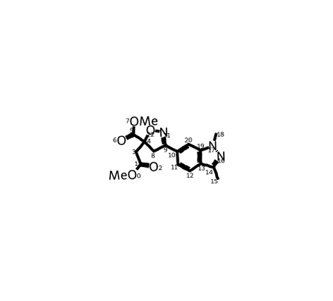 COC(=O)CC1(C(=O)OC)CC(c2ccc3c(C)nn(C)c3c2)=NO1